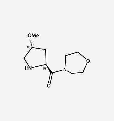 CO[C@H]1CN[C@H](C(=O)N2CCOCC2)C1